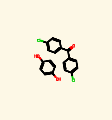 O=C(c1ccc(Cl)cc1)c1ccc(Cl)cc1.Oc1ccc(O)cc1